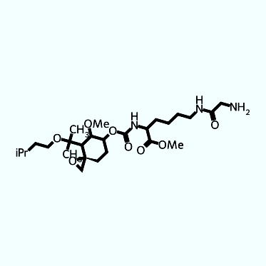 COC(=O)C(CCCCNC(=O)CN)NC(=O)OC1CC[C@]2(CO2)C(C(C)(C)OCCC(C)C)C1OC